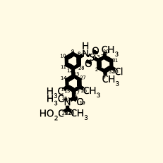 Cc1cc(S(=O)(=O)Nc2cccc(-c3cc(C)c(C(=O)N(C)C(C)C(=O)O)c(C)c3)c2)c(C)cc1Cl